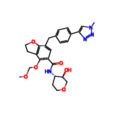 COCOc1c(C(=O)N[C@H]2CCOC[C@@H]2O)cc(Cc2ccc(-c3cn(C)nn3)cc2)c2c1CCO2